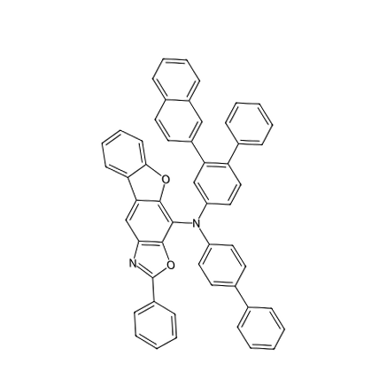 c1ccc(-c2ccc(N(c3ccc(-c4ccccc4)c(-c4ccc5ccccc5c4)c3)c3c4oc(-c5ccccc5)nc4cc4c3oc3ccccc34)cc2)cc1